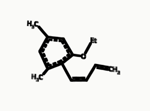 C=C/C=C\c1c(C)cc(C)cc1OCC